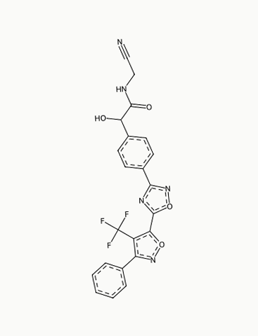 N#CCNC(=O)C(O)c1ccc(-c2noc(-c3onc(-c4ccccc4)c3C(F)(F)F)n2)cc1